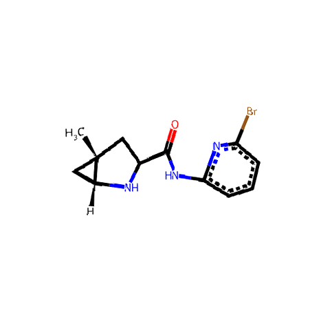 C[C@@]12CC(C(=O)Nc3cccc(Br)n3)N[C@@H]1C2